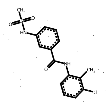 Cc1c(Cl)cccc1NC(=O)c1cccc(NS(C)(=O)=O)c1